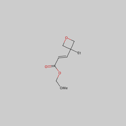 CCC1(C=CC(=O)OCOC)COC1